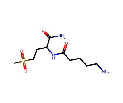 CS(=O)(=O)CCC(NC(=O)CCCCN)C(N)=O